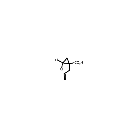 C=CCC1(C(=O)O)CC1(Cl)Cl